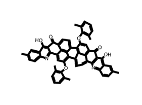 Cc1ccc2nc3c(c(O)c2c1)C(=O)c1cc(Oc2c(C)cccc2C)c2c4ccc5c6c(cc(Oc7c(C)cccc7C)c(c7ccc-3c1c72)c64)-c1nc2ccc(C)cc2c(O)c1C5=O